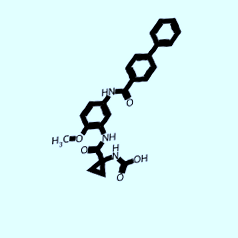 COc1ccc(NC(=O)c2ccc(-c3ccccc3)cc2)cc1NC(=O)C1(NC(=O)O)CC1